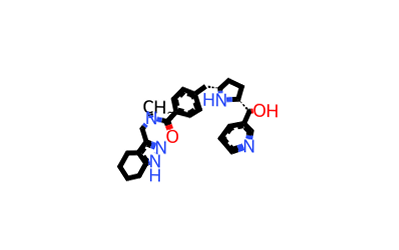 CN(Cc1n[nH]c2c1CCCC2)C(=O)c1ccc(C[C@@H]2CC[C@H](C(O)c3cccnc3)N2)cc1